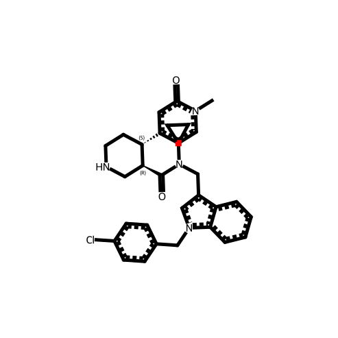 Cn1ccc([C@H]2CCNC[C@@H]2C(=O)N(Cc2cn(Cc3ccc(Cl)cc3)c3ccccc23)C2CC2)cc1=O